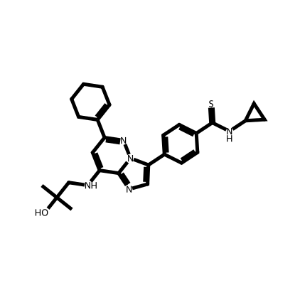 CC(C)(O)CNc1cc(C2=CCCCC2)nn2c(-c3ccc(C(=S)NC4CC4)cc3)cnc12